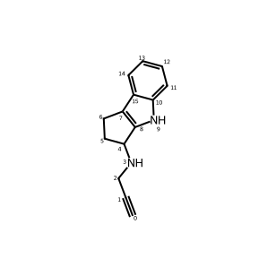 C#CCNC1CCc2c1[nH]c1ccccc21